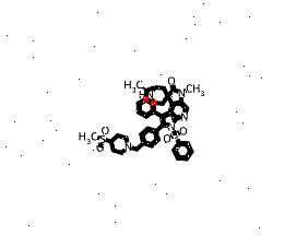 C[C@@H]1CC2CC3(CC1N2)C(=O)N(C)c1cnc2c(c(-c4ccccc4)c(-c4ccc(CN5CCC(S(C)(=O)=O)CC5)cc4)n2S(=O)(=O)c2ccccc2)c13